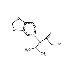 CC(C)N(C(=O)CBr)c1ccc2c(c1)OCO2